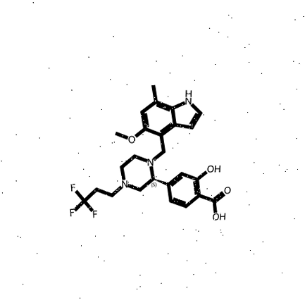 COc1cc(C)c2[nH]ccc2c1CN1CCN(CCC(F)(F)F)C[C@@H]1c1ccc(C(=O)O)c(O)c1